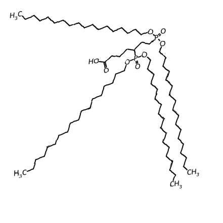 CCCCCCCCCCCCCCCCCCOP(=O)(CCC(CCCC(=O)O)P(=O)(OCCCCCCCCCCCCCCCCCC)OCCCCCCCCCCCCCCCCCC)OCCCCCCCCCCCCCCCCCC